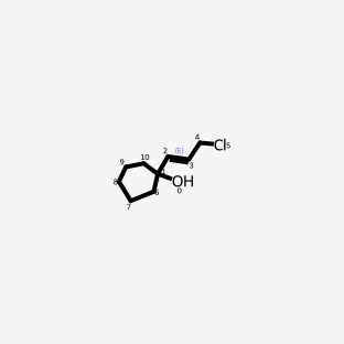 OC1(/C=C/CCl)CCCCC1